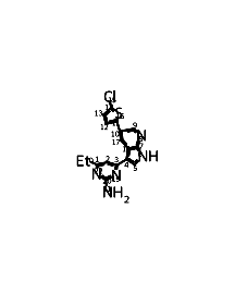 CCc1cc(-c2c[nH]c3ncc(-c4ccc(Cl)s4)cc23)nc(N)n1